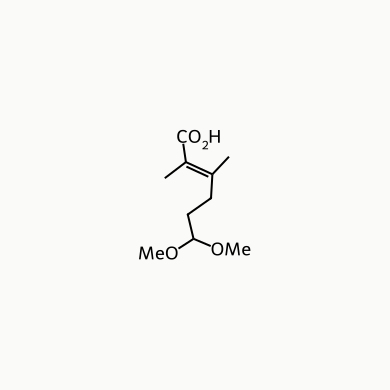 COC(CCC(C)=C(C)C(=O)O)OC